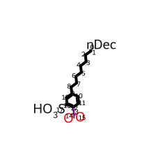 CCCCCCCCCCCCCCCCCCc1ccc(I(=O)=O)c(S(=O)(=O)O)c1